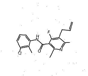 C=CCc1c(C)nc(C)c(C(=O)Nc2cccc(Cl)c2C)c1F